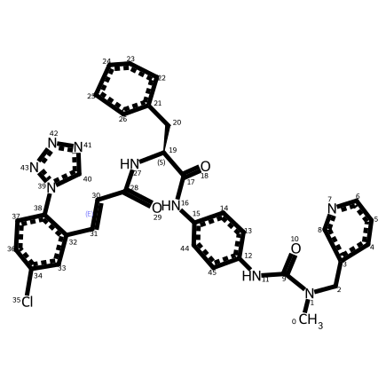 CN(Cc1cccnc1)C(=O)Nc1ccc(NC(=O)[C@H](Cc2ccccc2)NC(=O)/C=C/c2cc(Cl)ccc2-n2cnnn2)cc1